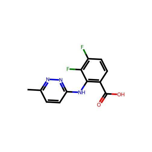 Cc1ccc(Nc2c(C(=O)O)ccc(F)c2F)nn1